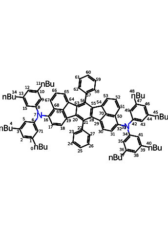 CCCCc1cc(CCCC)cc(N(c2cc(CCCC)cc(CCCC)c2)c2ccc3c4c(-c5ccccc5)c5c6ccc(N(c7cc(CCCC)cc(CCCC)c7)c7cc(CCCC)cc(CCCC)c7)c7cccc(c5c(-c5ccccc5)c4c4cccc2c43)c76)c1